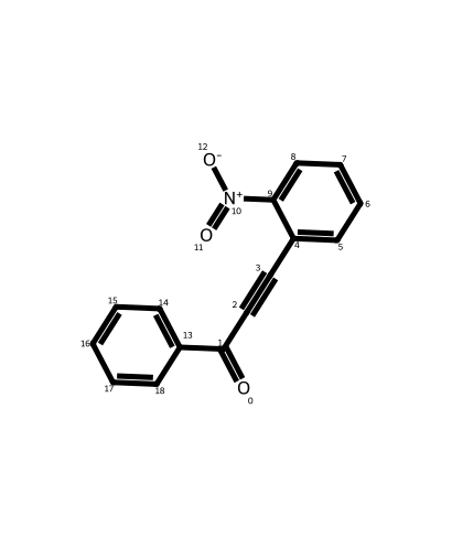 O=C(C#Cc1ccccc1[N+](=O)[O-])c1ccccc1